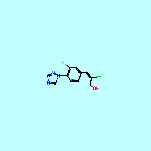 OC/C(F)=C\c1ccc(-n2cncn2)c(F)c1